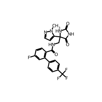 Cn1nccc1C1(CNC(=O)c2ccc(F)cc2-c2ccc(C(F)(F)F)cc2)NC(=O)NC1=O